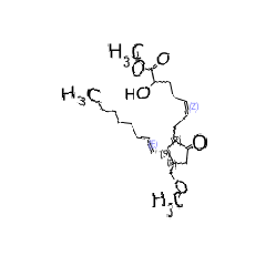 CCCCCC/C=C/[C@H]1[C@H](COC)CC(=O)[C@@H]1C/C=C\CCC(O)C(=O)OC